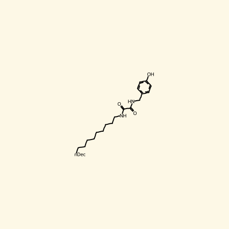 CCCCCCCCCCCCCCCCCCCNC(=O)C(=O)NCc1ccc(O)cc1